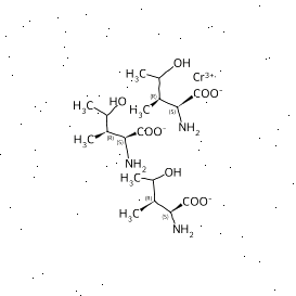 CC(O)[C@H](C)[C@H](N)C(=O)[O-].CC(O)[C@H](C)[C@H](N)C(=O)[O-].CC(O)[C@H](C)[C@H](N)C(=O)[O-].[Cr+3]